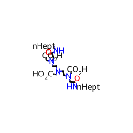 CCCCCCCNC(=O)CN(CCN(CCN(CC(=O)O)CC(=O)NCCCCCCC)CC(=O)O)CC(=O)O